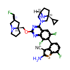 N#Cc1c(N)sc2c(F)ccc(-c3c(F)cc4c(N5C[C@@H]6CC[C@](C7CC7)(C5)N6)nc(OC[C@@]56CCCN5C/C(=C\F)C6)nc4c3F)c12